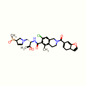 C=C(O)[C@H](CN1C=CC([S+](C)[O-])C1)NC(=O)c1c(Cl)cc2c(c1C)CCN(C(=O)C1=CCC3C#COC3=C1)C2